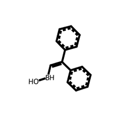 OBC=C(c1ccccc1)c1ccccc1